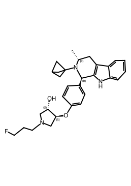 C[C@@H]1Cc2c([nH]c3ccccc23)[C@@H](c2ccc(O[C@H]3CN(CCCF)C[C@@H]3O)cc2)N1C12CC(C1)C2